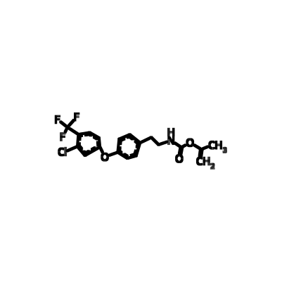 C=C(C)OC(=O)NCCc1ccc(Oc2ccc(C(F)(F)F)c(Cl)c2)cc1